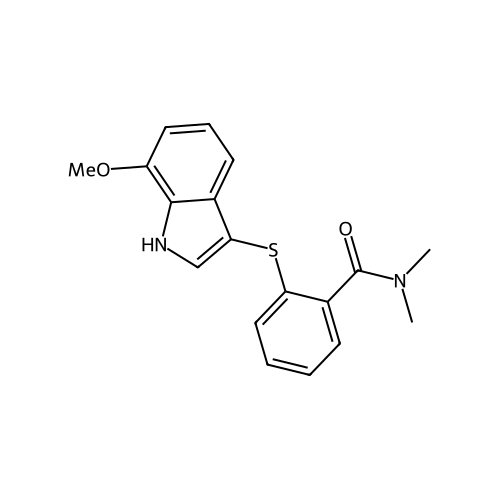 COc1cccc2c(Sc3ccccc3C(=O)N(C)C)c[nH]c12